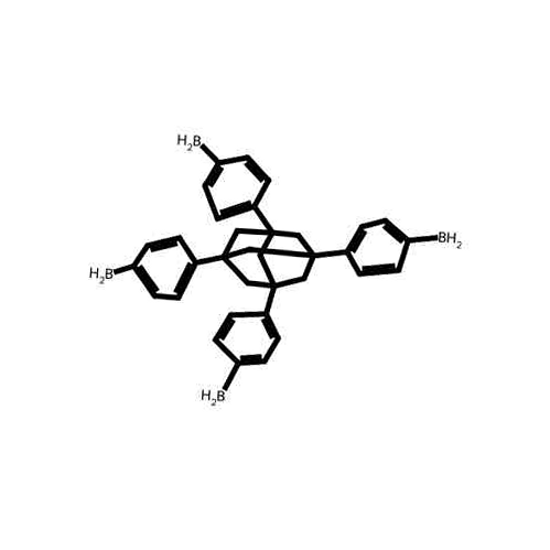 Bc1ccc(C23CC4(c5ccc(B)cc5)CC(c5ccc(B)cc5)(C2)CC(c2ccc(B)cc2)(C3)C4)cc1